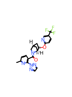 Cc1ccc(C(=O)N2C[C@H]3C[C@@H](Oc4ccc(C(F)(F)F)cn4)[C@@H]2C3)c(-n2nccn2)n1